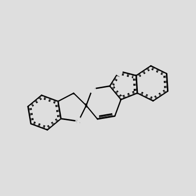 C1=CC2(Cc3ccccc3N2)Oc2oc3ccccc3c21